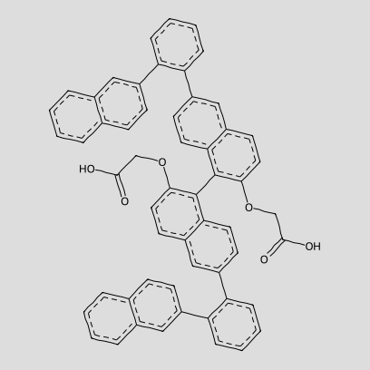 O=C(O)COc1ccc2cc(-c3ccccc3-c3ccc4ccccc4c3)ccc2c1-c1c(OCC(=O)O)ccc2cc(-c3ccccc3-c3ccc4ccccc4c3)ccc12